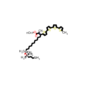 CCCCCCCCOC(=O)/C(C#N)=C(\CCCCCCCCCC[Si](C)(C)O[Si](C)(C)CCC[SiH3])c1ccc(-c2ccc(-c3ccc(-c4ccc(C)s4)s3)s2)s1